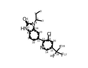 CCC(C)n1c(=O)[nH]c2ccc(-c3ncc(C(F)(F)F)cc3Cl)cc21